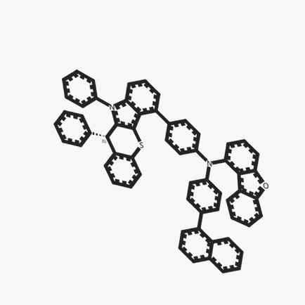 c1ccc([C@H]2c3ccccc3Sc3c2n(-c2ccccc2)c2cccc(-c4ccc(N(c5ccc(-c6cccc7ccccc67)cc5)c5cccc6oc7ccccc7c56)cc4)c32)cc1